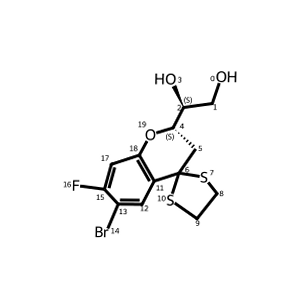 OC[C@H](O)[C@@H]1CC2(SCCS2)c2cc(Br)c(F)cc2O1